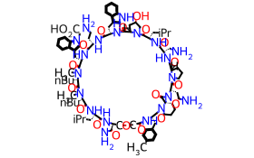 CCCC[C@H]1C(=O)N(C)[C@@H](CCCC)C(=O)N[C@@H](CC(C)C)C(=O)N[C@H](C(N)=O)COCC(=O)N[C@@H](Cc2ccc(C)cc2)C(=O)N2CCCC[C@@]23C(=O)N3[C@@H](CC(N)=O)C(=O)N2CCC[C@H]2C(=O)N[C@@H](CN)C(=O)N[C@@H](CC(C)C)C(=O)N2C[C@H](O)C[C@H]2C(=O)N[C@@H](Cc2c[nH]c3ccccc23)C(=O)N[C@@H](CCN)C(=O)N[C@@H](Cc2cn(CC(=O)O)c3ccccc23)C(=O)N1C